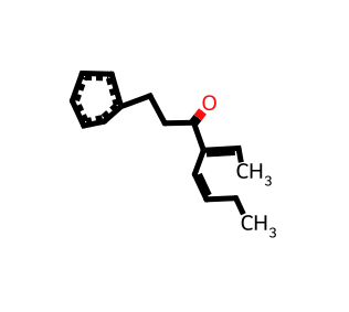 C/C=C(\C=C/CC)C(=O)CCc1ccccc1